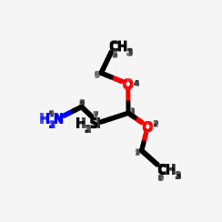 CCOC(OCC)[SiH2]CN